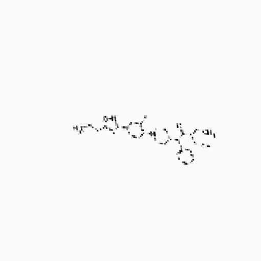 CCCc1nc(-c2ccc(N3CCN(C(C(=O)N(CC)CC)c4ccccc4)CC3)c(F)c2)no1